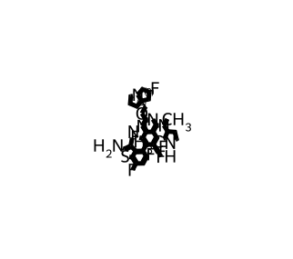 CC1NCCC1N(C)c1nc(OC[C@@]23CCCN2C[C@H](F)C3)nc2c(F)c(-c3ccc(F)c4sc(N)c(C#N)c34)c(C(F)(F)F)cc12